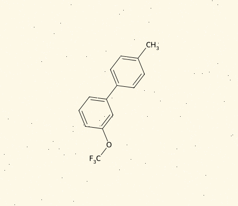 Cc1ccc(-c2cccc(OC(F)(F)F)c2)cc1